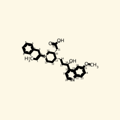 CC=C(Cc1ccccc1)N1CC[C@@H](CC[C@H](O)c2ccnc3ccc(OC)cc23)[C@@H](CC(=O)O)C1